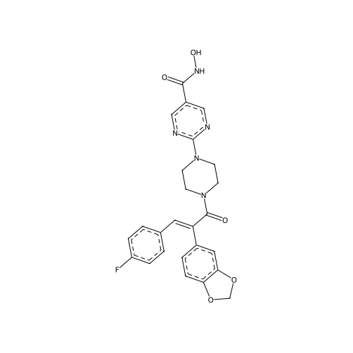 O=C(NO)c1cnc(N2CCN(C(=O)/C(=C/c3ccc(F)cc3)c3ccc4c(c3)OCO4)CC2)nc1